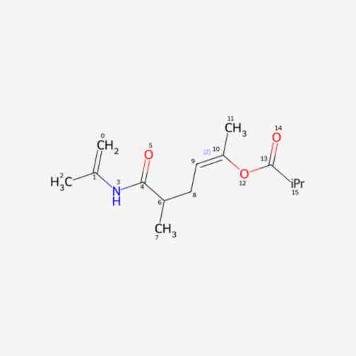 C=C(C)NC(=O)C(C)C/C=C(/C)OC(=O)C(C)C